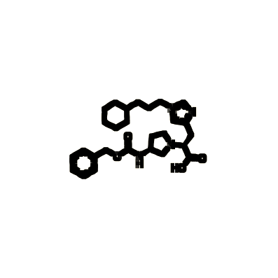 O=C(N[C@H]1CCN([C@@H](Cc2cn(CCCC3CCCCC3)cn2)C(=O)O)C1)OCc1ccccc1